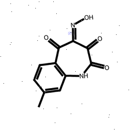 Cc1ccc2c(c1)NC(=O)C(=O)/C(=N\O)C2=O